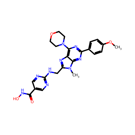 COc1ccc(-c2nc(N3CCOCC3)c3nc(CNc4ncc(C(=O)NO)cn4)n(C)c3n2)cc1